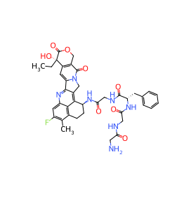 CC[C@@]1(O)C(=O)OCc2c1cc1n(c2=O)Cc2c-1nc1cc(F)c(C)c3c1c2[C@@H](NC(=O)CNC(=O)[C@H](Cc1ccccc1)NC(=O)CNC(=O)CN)CC3